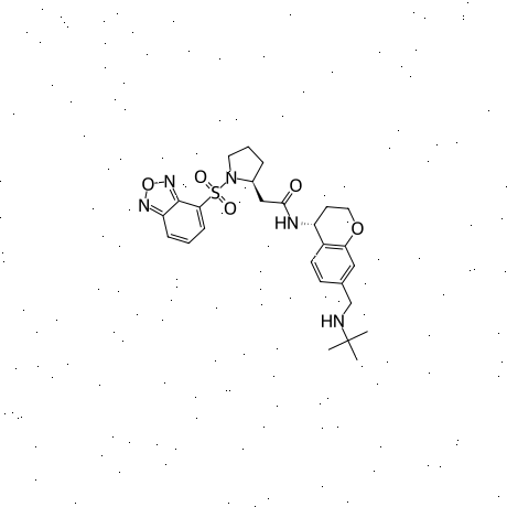 CC(C)(C)NCc1ccc2c(c1)OCC[C@H]2NC(=O)C[C@@H]1CCCN1S(=O)(=O)c1cccc2nonc12